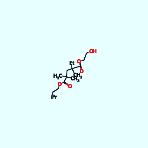 CCC(C)(CC(C)(C)C(=O)OCCC(C)C)C(=O)OCCO